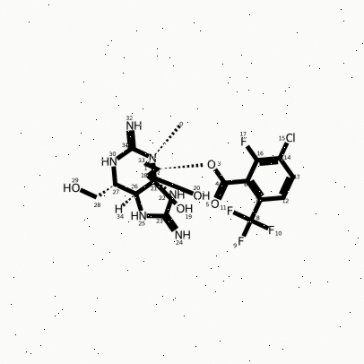 C[C@H]1[C@H](OC(=O)c2c(C(F)(F)F)ccc(Cl)c2F)C(O)(O)[C@]23NC(=N)N[C@H]2[C@H](CO)NC(=N)N13